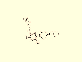 CCOC(=O)C1CCN(c2nc(CCCCC(F)(F)F)c(I)nc2Cl)CC1